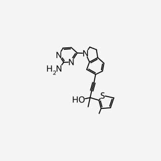 Cc1ccsc1C(C)(O)C#Cc1ccc2c(c1)N(c1ccnc(N)n1)CC2